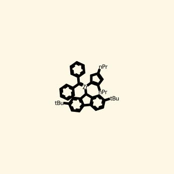 CCCC1=CC(CCC)=[C]([Zr](=[C](c2ccccc2)c2ccccc2)[CH]2c3cc(C(C)(C)C)ccc3-c3ccc(C(C)(C)C)cc32)C1